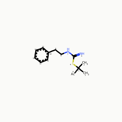 CC(=O)C(C)(C)SC(=N)NCCc1ccccc1